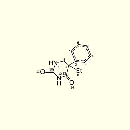 CCC1(c2ccccc2)CNC(=O)NC1=O